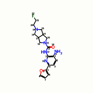 Nc1ccc(-c2ccco2)nc1NC(=O)N1CC2CN(CCF)CC2C1